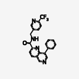 O=C(NCc1ccc(C(F)(F)F)nc1)c1ccc2cncc(-c3ccccc3)c2n1